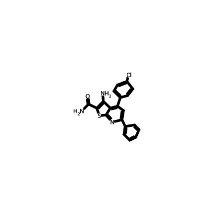 NC(=O)c1sc2nc(-c3ccccc3)cc(-c3ccc(Cl)cc3)c2c1N